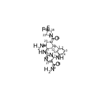 Cc1cccc(Nc2nc(N[C@@H]3CC[C@@H](C(=O)N4CC(F)(F)C4)C[C@@H]3N)ncc2C(N)=O)c1